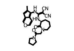 Cc1cc2coccc-2c1NC(N[C@H]1CCCCN(CC(=O)N2CCCC2)C1=O)=C(C#N)C#N